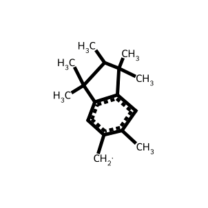 [CH2]c1cc2c(cc1C)C(C)(C)C(C)C2(C)C